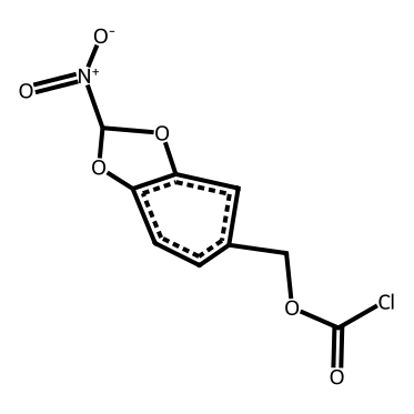 O=C(Cl)OCc1ccc2c(c1)OC([N+](=O)[O-])O2